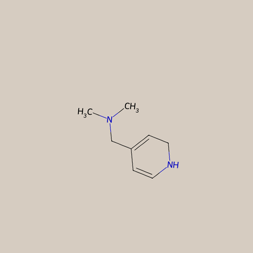 CN(C)CC1=CCNC=C1